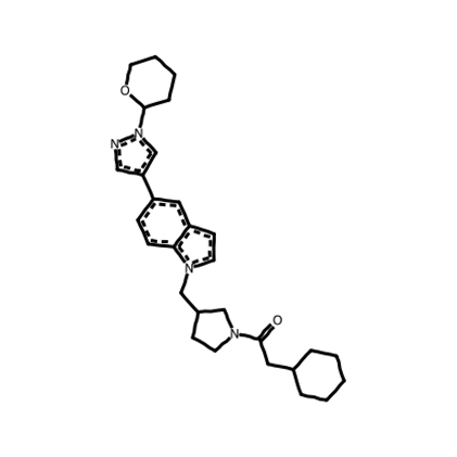 O=C(CC1CCCCC1)N1CCC(Cn2ccc3cc(-c4cnn(C5CCCCO5)c4)ccc32)C1